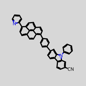 N#Cc1ccc2c3ccc(-c4ccc(-c5ccc6ccc7c(-c8ccccn8)ccc8ccc5c6c87)cc4)cc3n(-c3ccccc3)c2c1